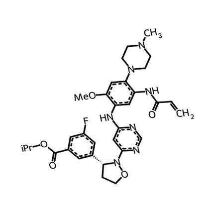 C=CC(=O)Nc1cc(Nc2cc(N3OCC[C@@H]3c3cc(F)cc(C(=O)OC(C)C)c3)ncn2)c(OC)cc1N1CCN(C)CC1